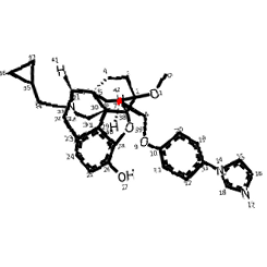 COC12CC[C@@]3(C[C@@H]1COc1ccc(-n4ccnc4)cc1)[C@H]1Cc4ccc(O)c5c4[C@@]3(CCN1CC1CC1)[C@H]2O5